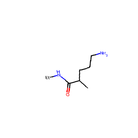 CCNC(=O)C(C)CCCN